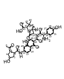 CC(=O)N1CC(O)CC1C(=O)Nc1ccc2c(=O)c(C(=O)N(C(=O)C(N)c3ccc(O)cc3)[C@@H]3C(=O)N4[C@@H]3SC(C)(C)[C@@H]4C(=O)O)c[nH]c2c1